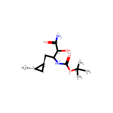 C[C@H]1C[C@@H]1CC(NC(=O)OC(C)(C)C)C(O)C(N)=O